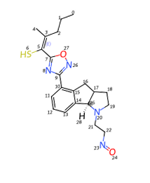 CCC/C(C)=C(/S)c1nc(-c2cccc3c2CC2CCN(CCN=O)[C@@H]32)no1